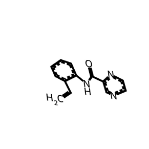 C=Cc1ccccc1NC(=O)c1cnccn1